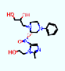 Cc1ncc([N+](=O)[O-])n1CCO.OCC(O)CN1CCN(c2ccccc2)CC1